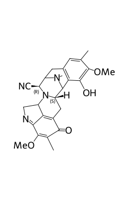 COC1=C(C)C(=O)C2=C3C1=NCC3N1[C@@H](C#N)C3Cc4cc(C)c(OC)c(O)c4C([C@@H]1C2)N3C